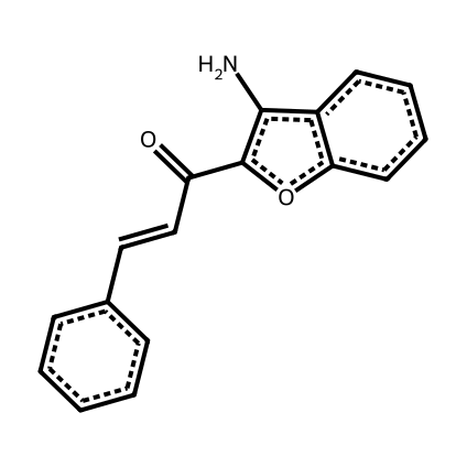 Nc1c(C(=O)C=Cc2ccccc2)oc2ccccc12